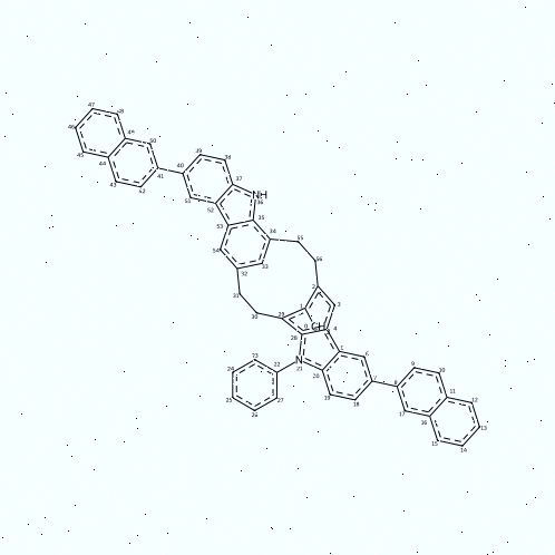 Cc1c2cc3c4cc(-c5ccc6ccccc6c5)ccc4n(-c4ccccc4)c3c1CCc1cc(c3[nH]c4ccc(-c5ccc6ccccc6c5)cc4c3c1)CC2